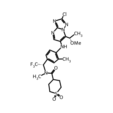 CO[C@@H](C)c1c(Nc2ccc([C@H](N(C)C(=O)C3CCS(=O)(=O)CC3)C(F)(F)F)cc2C)cnc2nc(Cl)nn12